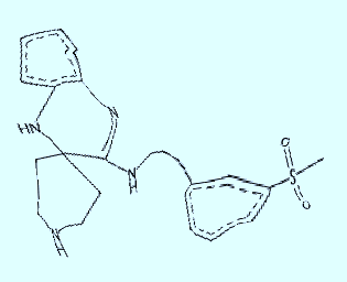 CS(=O)(=O)c1cccc(CNC2=Nc3ccccc3NC23CCNCC3)c1